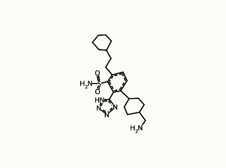 NCC1CCC(c2ccc(CCC3CCCCC3)c(S(N)(=O)=O)c2-c2nnn[nH]2)CC1